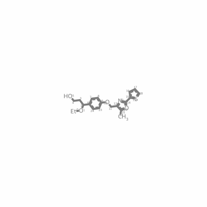 CCOC(CCO)c1ccc(OCc2nc(-c3cccs3)oc2C)cc1